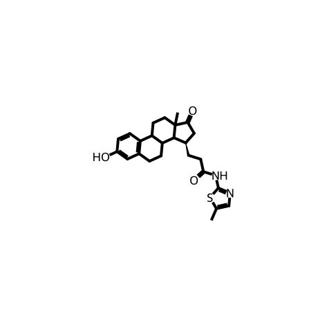 Cc1cnc(NC(=O)CC[C@@H]2CC(=O)C3(C)CCC4c5ccc(O)cc5CCC4C23)s1